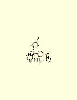 C#Cc1cc(C)c(-c2cn3ncnc(N)c3c2C2=CC[C@@H](C(=O)N3CCC[C@H]3C)CC2)cn1